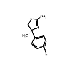 C[C@]1(c2ccc(Br)cc2)COC(N)=N1